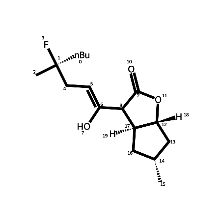 CCCC[C@](C)(F)CC=C(O)C1C(=O)O[C@@H]2C[C@H](C)C[C@@H]12